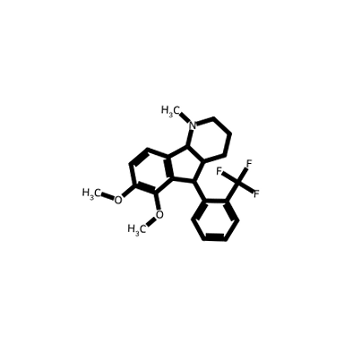 COc1ccc2c(c1OC)C(c1ccccc1C(F)(F)F)C1CCCN(C)C21